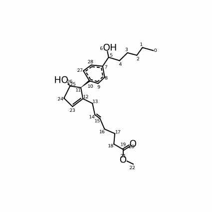 CCCCCC(O)c1ccc([C@H]2C(CC=CCCCC(=O)OC)=CC[C@H]2O)cc1